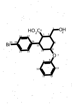 O=C(O)C1C(CO)CC(Oc2ccccc2)CC1c1ccc(Br)cc1